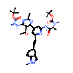 CC(=O)c1c(NN(C)C(=O)OC(C)(C)C)nc(C)nc1-c1cc(C#Cc2ccc3c(cnn3C)c2)nc(NC(=O)C(C)N(C)C(=O)OC(C)(C)C)c1